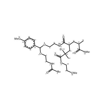 CCC(C)C(=O)NCCOC(OCCNC(=O)C(CC(C)C(=O)NC)CC(C)(CC)C(=O)OCCOC)c1ccc(OC)cc1